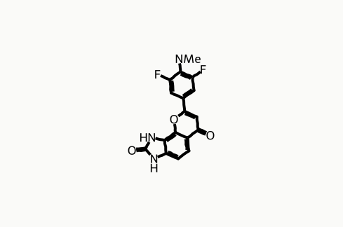 CNc1c(F)cc(-c2cc(=O)c3ccc4[nH]c(=O)[nH]c4c3o2)cc1F